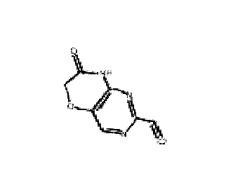 O=Cc1ncc2c(n1)NC(=O)CO2